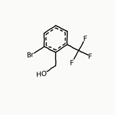 OCc1c(Br)cccc1C(F)(F)F